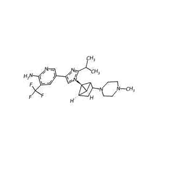 CC(C)c1nc(-c2cnc(N)c(C(F)(F)F)c2)cn1[C@]12C3C(N4CCN(C)CC4)C[C@@H]1[C@H]32